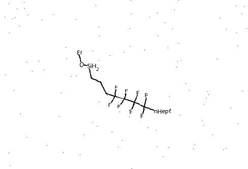 CCCCCCCC(F)(F)C(F)(F)C(F)(F)C(F)(F)CCC[SiH2]OCC